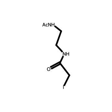 CC(=O)NCCNC(=O)CI